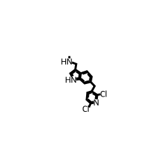 CNCc1c[nH]c2cc(Cc3ccc(Cl)nc3Cl)ccc12